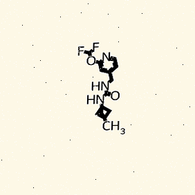 CC12CC(NC(=O)NCc3ccnc(OC(F)F)c3)(C1)C2